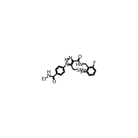 CCNC(=O)c1ccc(-n2nnc(C(=O)NCc3c(F)cccc3F)c2CSC)cc1